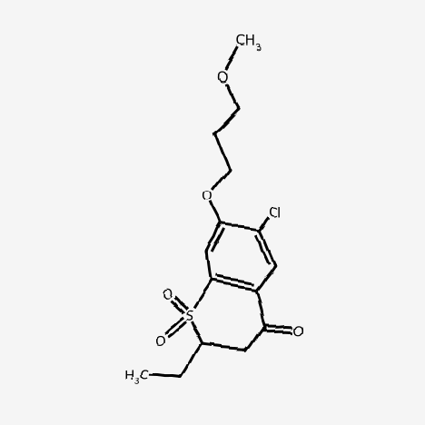 CCC1CC(=O)c2cc(Cl)c(OCCCOC)cc2S1(=O)=O